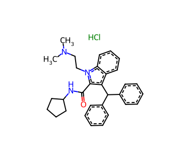 CN(C)CCn1c(C(=O)NC2CCCC2)c(C(c2ccccc2)c2ccccc2)c2ccccc21.Cl